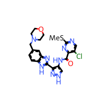 CSc1ncc(Cl)c(C(=O)Nc2c[nH]nc2-c2nc3cc(CN4CCOCC4)ccc3[nH]2)n1